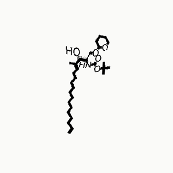 CCCCCCCCCCCCCC=C(C)[C@H](O)[C@@H](COC1CCCCO1)NC(=O)OC(C)(C)C